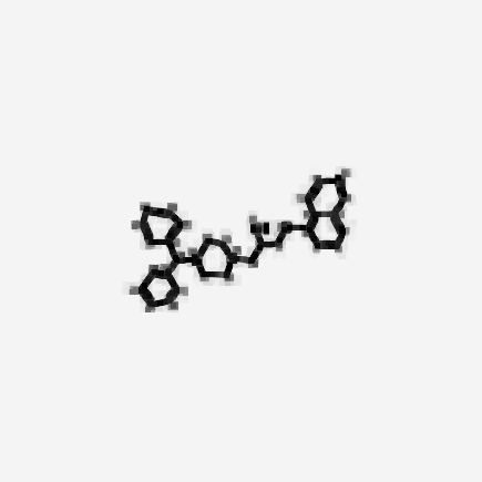 OC(COc1cccc2cnccc12)CN1CCN(C(c2ccccc2)c2ccccc2)CC1